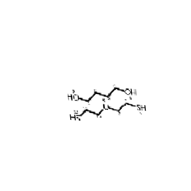 OCCCCO.SCCOCCS